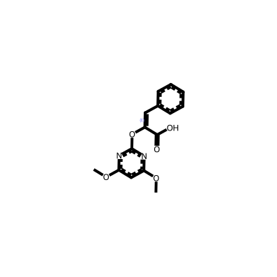 COc1cc(OC)nc(O/C(=C/c2ccccc2)C(=O)O)n1